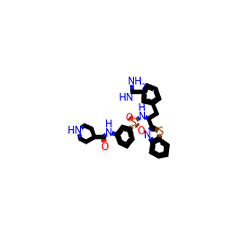 N=C(N)c1cccc(CC(NS(=O)(=O)c2cccc(NC(=O)C3CCNCC3)c2)c2nc3ccccc3s2)c1